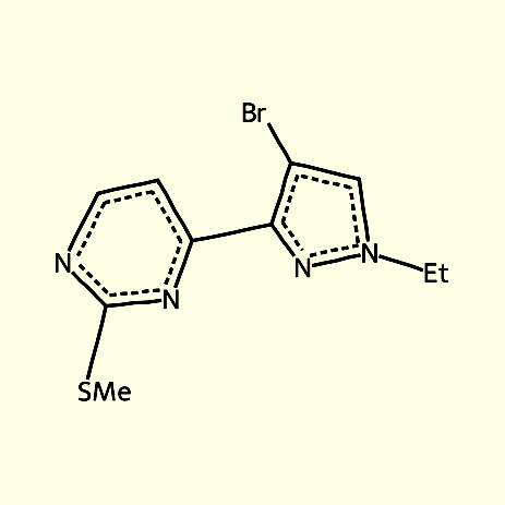 CCn1cc(Br)c(-c2ccnc(SC)n2)n1